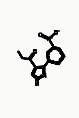 CCC(=O)c1c[nH]nc1-c1cccc([N+](=O)[O-])c1